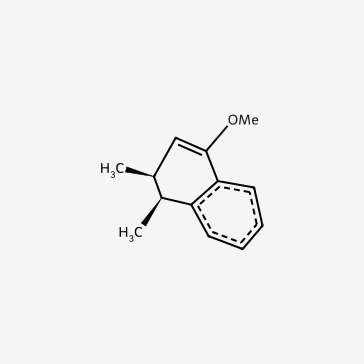 COC1=C[C@H](C)[C@H](C)c2ccccc21